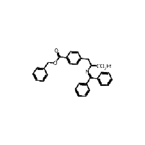 CCOC(=O)C(Cc1ccc(C(=O)OCc2ccccc2)cc1)N=C(c1ccccc1)c1ccccc1